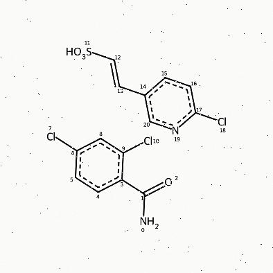 NC(=O)c1ccc(Cl)cc1Cl.O=S(=O)(O)/C=C/c1ccc(Cl)nc1